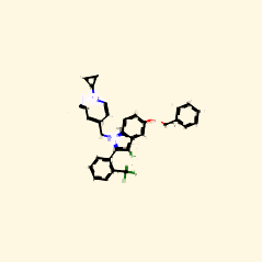 C=C/C=C(\C=C/NC1CC1)Cn1c(-c2ccccc2C(F)(F)F)c(F)c2cc(OCc3ccccc3)ccc21